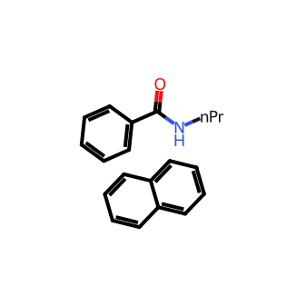 CCCNC(=O)c1ccccc1.c1ccc2ccccc2c1